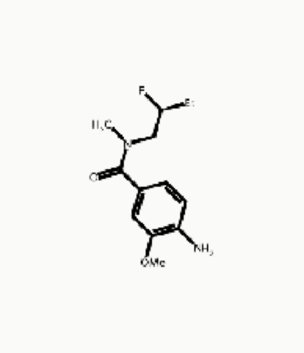 CC[C@H](F)CN(C)C(=O)c1ccc(N)c(OC)c1